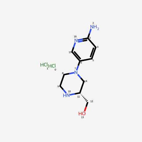 Cl.Cl.Nc1ccc(N2CCN[C@@H](CO)C2)cn1